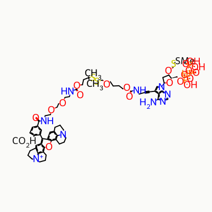 CSSCO[C@H]1C[C@H](n2cc(C#CCNC(=O)OCCCCOCSSC(C)(C)CCOC(=O)NCCOCCOCCNC(=O)c3ccc(C(=O)O)c(C4=c5cc6c7c(c5Oc5c4cc4c8c5CCCN8CCC4)CCC[N+]=7CCC6)c3)c3c(N)ncnc32)O[C@@H]1COP(=O)(O)O[PH](=O)OP(=O)(O)O